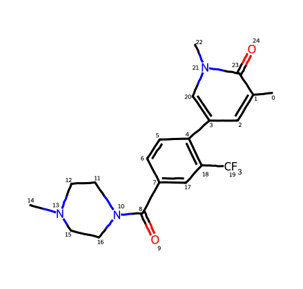 Cc1cc(-c2ccc(C(=O)N3CCN(C)CC3)cc2C(F)(F)F)cn(C)c1=O